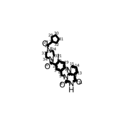 O=C(c1cc(Cn2c(=O)[nH]c(=O)c3cccnc32)ccc1I)N1CCN(C(=O)C2CCCC2)CC1